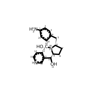 Nc1ccc(C[C@@H]2CC[C@H](C(O)c3cccnc3)N2C(=O)O)cc1